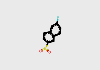 O=[SH](=O)c1ccc2cc(F)ccc2c1